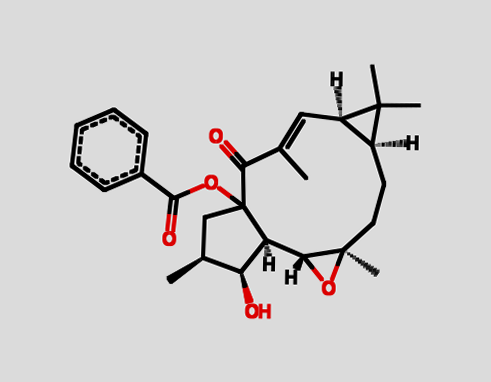 C/C1=C\[C@@H]2[C@H](CC[C@@]3(C)O[C@@H]3[C@H]3[C@@H](O)[C@@H](C)CC3(OC(=O)c3ccccc3)C1=O)C2(C)C